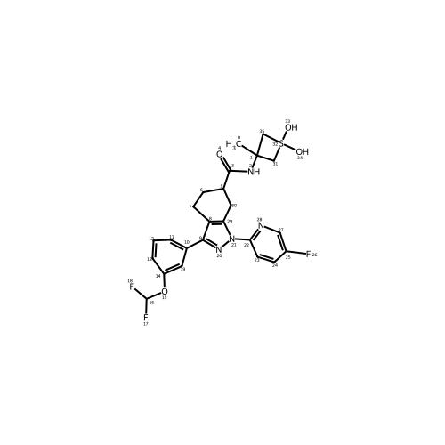 CC1(NC(=O)C2CCc3c(-c4cccc(OC(F)F)c4)nn(-c4ccc(F)cn4)c3C2)CS(O)(O)C1